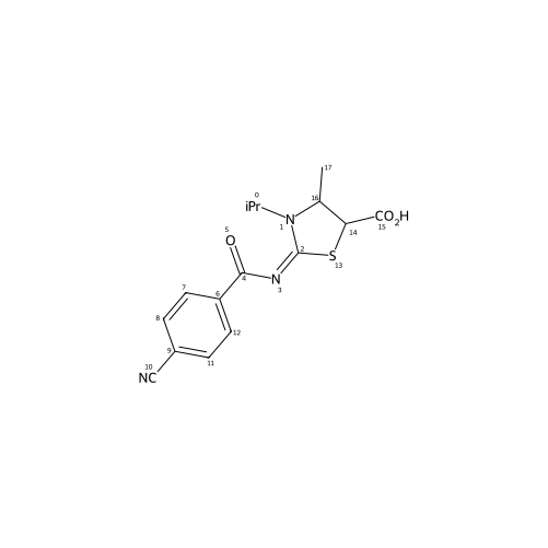 CC(C)N1C(=NC(=O)c2ccc(C#N)cc2)SC(C(=O)O)C1C